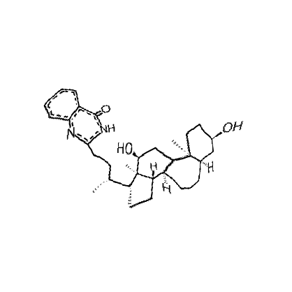 C[C@H](CCc1nc2ccccc2c(=O)[nH]1)[C@H]1CC[C@H]2[C@@H]3CC[C@@H]4C[C@H](O)CC[C@]4(C)C3C[C@H](O)[C@]12C